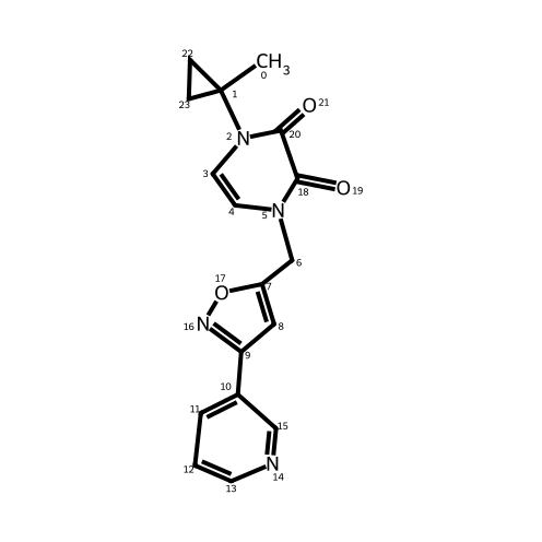 CC1(n2ccn(Cc3cc(-c4cccnc4)no3)c(=O)c2=O)CC1